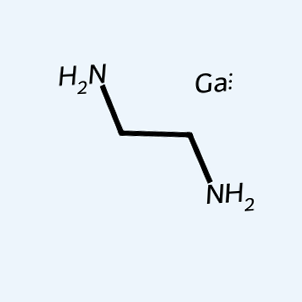 NCCN.[Ga]